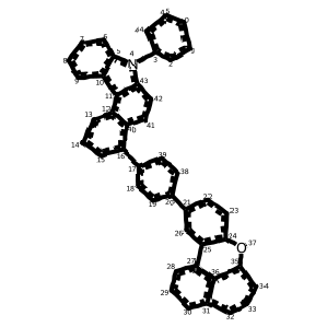 c1ccc(-n2c3ccccc3c3c4cccc(-c5ccc(-c6ccc7c(c6)-c6cccc8cccc(c68)O7)cc5)c4ccc32)cc1